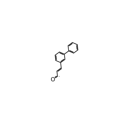 O=[C]/C=C/c1cccc(-c2ccccc2)c1